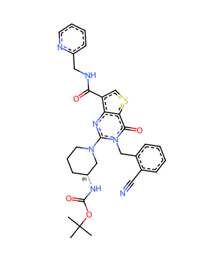 CC(C)(C)OC(=O)N[C@@H]1CCCN(c2nc3c(C(=O)NCc4ccccn4)csc3c(=O)n2Cc2ccccc2C#N)C1